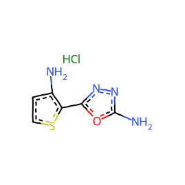 Cl.Nc1nnc(-c2sccc2N)o1